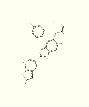 C=C(O)[C@@H](OC(C)(C)C)c1c(C)cc2nc(-c3cnc4[nH]c(C)cc4c3)sc2c1-c1ccc(Cl)cc1